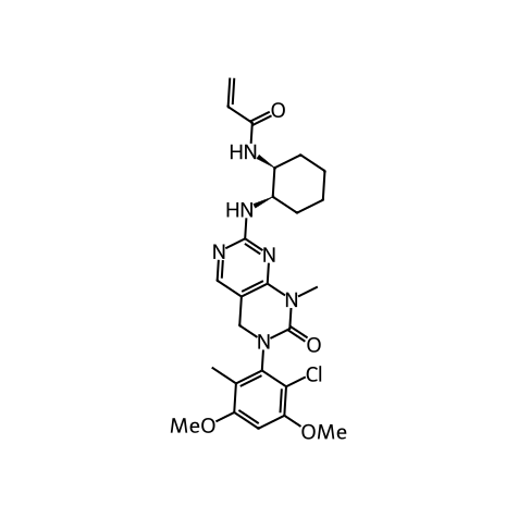 C=CC(=O)N[C@H]1CCCC[C@H]1Nc1ncc2c(n1)N(C)C(=O)N(c1c(C)c(OC)cc(OC)c1Cl)C2